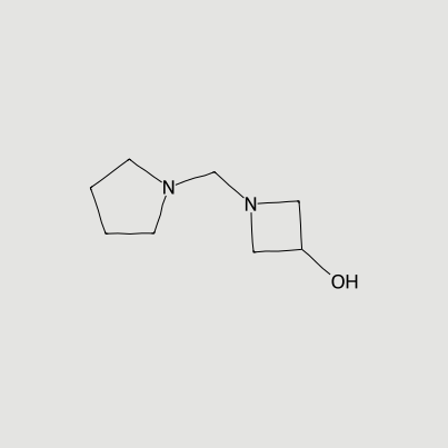 OC1CN(CN2CCCC2)C1